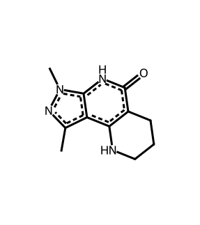 Cc1nn(C)c2[nH]c(=O)c3c(c12)NCCC3